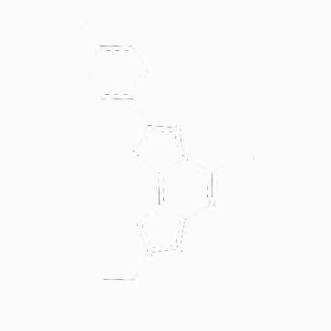 CCCCc1nc2nn(CCO)cc2c2nc(-c3ccc(C)cc3)nn12